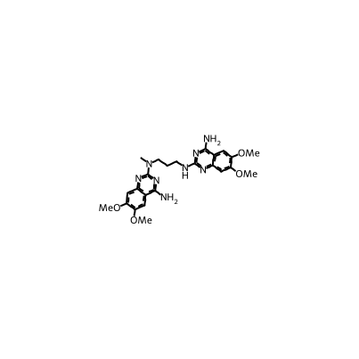 COc1cc2nc(NCCCN(C)c3nc(N)c4cc(OC)c(OC)cc4n3)nc(N)c2cc1OC